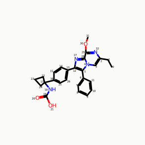 CCc1cn2c(-c3ccccc3)c(-c3ccc(C4(NC(=O)O)CCC4)cc3)nc2c(OC)n1